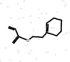 C=CC(=C)OCCC1=CCCCC1